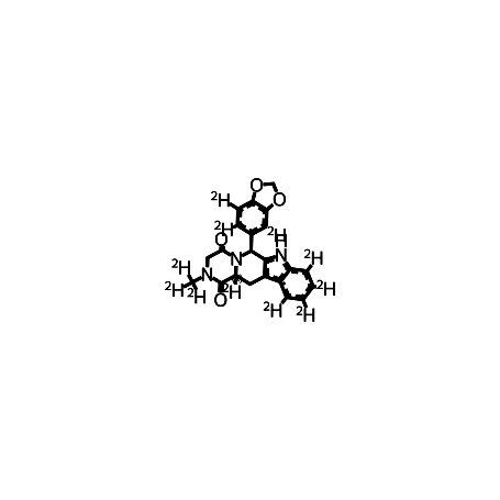 [2H]c1c([2H])c(C2c3[nH]c4c([2H])c([2H])c([2H])c([2H])c4c3C[C@]3([2H])C(=O)N(C([2H])([2H])[2H])CC(=O)N23)c([2H])c2c1OCO2